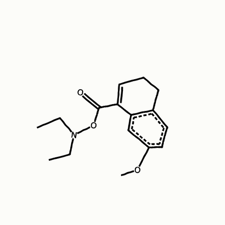 CCN(CC)OC(=O)C1=CCCc2ccc(OC)cc21